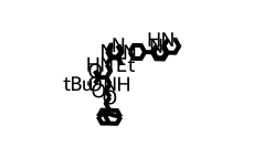 CCc1c(NCC(NC(=O)OCC23CC4CC(CC(C4)C2)C3)C(=O)OC(C)(C)C)ncnc1N1CCC(c2ccc3c(n2)NCCC3)CC1